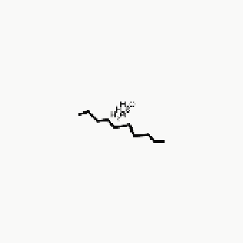 CCCCCCCCCC.O.O.O